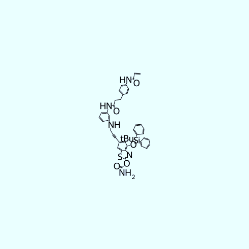 C=CC(=O)Nc1ccc(CCC(=O)Nc2cccc(NCC#Cc3cc(O[Si](c4ccccc4)(c4ccccc4)C(C)(C)C)c4nc(OC(N)=O)sc4c3)c2)cc1